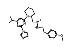 COc1ccc(CCNC(=O)CC2CCCCN2c2cc(C(C)C)nc(-n3ccnc3)n2)cc1